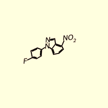 O=[N+]([O-])c1cccc2c1cnn2-c1ccc(F)cc1